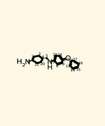 N[C@H]1CC[C@H](CNc2ccc(Oc3ccccc3)cc2)CC1